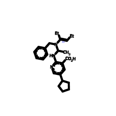 CC/C=C(\CC)N(Cc1ccccc1)C(C)Nc1ncc(C2CCCC2)cc1C(=O)O